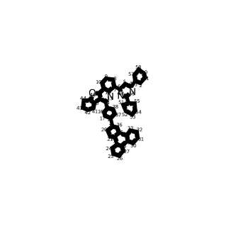 c1ccc(-c2cc(-c3cccc4c3nc(-c3ccc(-c5ccc6c7ccccc7c7ccccc7c6c5)cc3)c3c5ccccc5oc43)nc(-c3ccccc3)n2)cc1